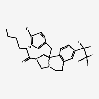 CCCCC(O)C(=O)N1CC2CCc3cc(C(C)(F)C(F)(F)F)ccc3C2(Cc2ccc(F)cc2)C1